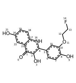 O=c1c(O)c(-c2ccc(O)c(OCCF)c2)[nH]c2ccc(O)cc12